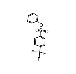 O=S(=O)(Oc1ccccc1)c1ccc(C(F)(F)F)cc1